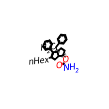 C=C(c1ccccc1)[C@@]12CC[C@@H](OC(N)=O)C1CC(CCCCCC)=C2c1ccccc1